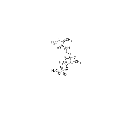 CCC(C)C(=O)NCC[N+](CC)(CC)CCOS(=O)(=O)OC